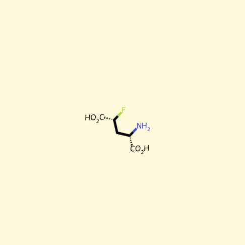 N[C@@H](C[C@@H](F)C(=O)O)C(=O)O